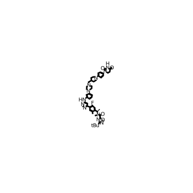 Cc1cc(-c2cc(Nc3cccc(N4CCN(CC5CCN(c6ccc(N7CCC(=O)NC7=O)cc6)CC5)CC4)c3)ncn2)c(F)cc1[C@@H](C)N(C)C(=O)c1nc(C(C)(C)C)no1